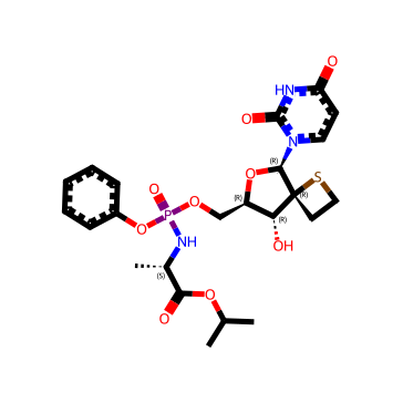 CC(C)OC(=O)[C@H](C)NP(=O)(OC[C@H]1O[C@@H](n2ccc(=O)[nH]c2=O)[C@@]2(CCS2)[C@@H]1O)Oc1ccccc1